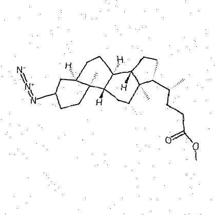 COC(=O)CC[C@@H](C)[C@H]1CC[C@H]2[C@@H]3CC[C@@H]4CC(N=[N+]=[N-])CC[C@]4(C)[C@H]3CC[C@]12C